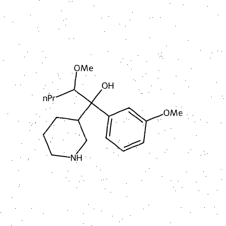 CCCC(OC)C(O)(c1cccc(OC)c1)C1CCCNC1